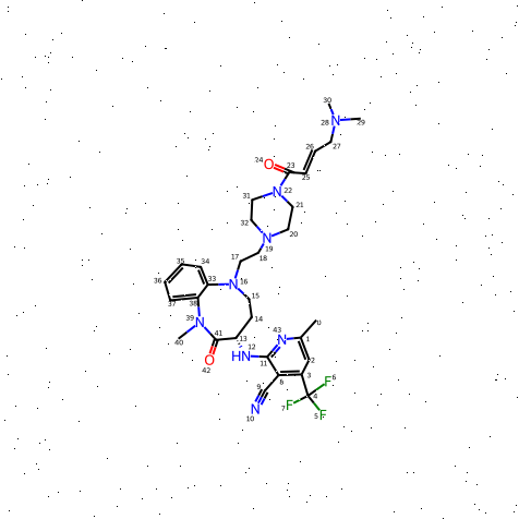 Cc1cc(C(F)(F)F)c(C#N)c(N[C@H]2CCN(CCN3CCN(C(=O)/C=C/CN(C)C)CC3)c3ccccc3N(C)C2=O)n1